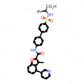 Cc1c(C(=O)Nc2ccc(-c3ccc(S(=O)(=O)N[C@H](C(=O)O)C(C)C)cc3)cc2)oc2cccc(-c3cccnc3)c12